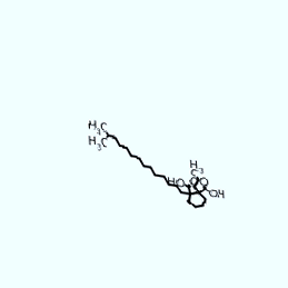 CCCC1(C(=O)O)CCCCC1(CCCCCCCCCCCCC(C)C)C(=O)O